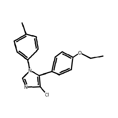 CCOc1ccc(-c2c(Cl)ncn2-c2ccc(C)cc2)cc1